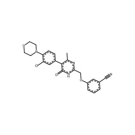 Cc1nc(COc2cccc(C#N)c2)[nH]c(=O)c1-c1ccc(N2CCOCC2)c(Cl)c1